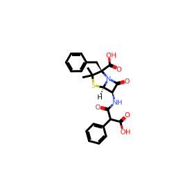 CC1(C)S[C@@H]2[C@H](NC(=O)C(C(=O)O)c3ccccc3)C(=O)N2[C@@]1(Cc1ccccc1)C(=O)O